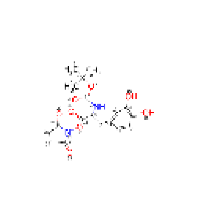 CC(C)(C)OC(=O)NC(Cc1ccc(O)c(O)c1)C(=O)ON1C(=O)CCC1=O